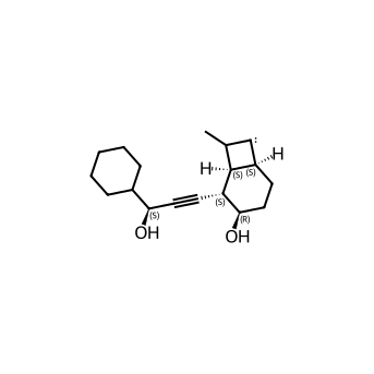 CC1[C][C@H]2CC[C@@H](O)[C@H](C#C[C@@H](O)C3CCCCC3)[C@@H]12